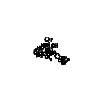 CC(C)(C)OC(=O)N[C@@H](Cc1ccc(OS(=O)(=O)C(F)(F)F)cc1)[C@@H](O)CN(Cc1ccccc1F)NC(=O)O[C@H]1CO[C@H]2OCC[C@H]21